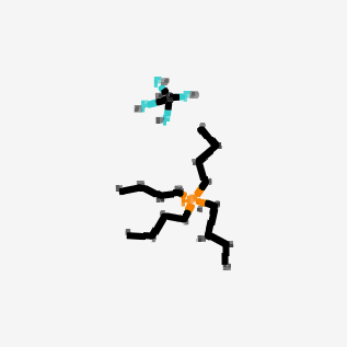 CCCC[PH](CCCC)(CCCC)CCCC.F[B-](F)(F)F